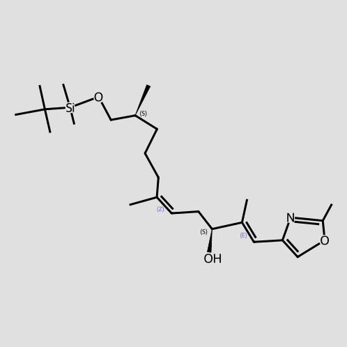 C/C(=C/C[C@H](O)/C(C)=C/c1coc(C)n1)CCC[C@H](C)CO[Si](C)(C)C(C)(C)C